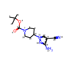 CC(C)(C)OC(=O)N1CCC(n2cc(C#N)c(N)n2)CC1